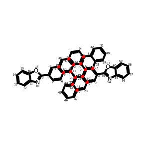 c1ccc(N(c2ccc(-c3nc4ccccc4o3)cc2)c2ccccc2-c2nc3ccccc3nc2-c2ccccc2N(c2ccccc2)c2ccc(-c3nc4ccccc4o3)cc2)cc1